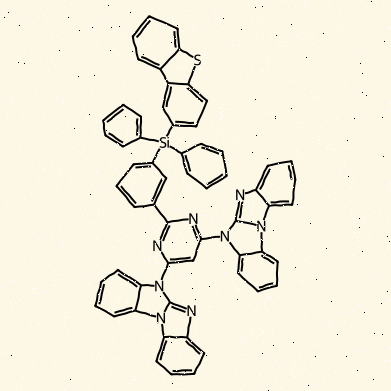 c1ccc([Si](c2ccccc2)(c2cccc(-c3nc(-n4c5ccccc5n5c6ccccc6nc45)cc(-n4c5ccccc5n5c6ccccc6nc45)n3)c2)c2ccc3sc4ccccc4c3c2)cc1